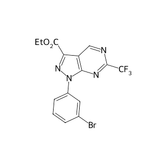 CCOC(=O)c1nn(-c2cccc(Br)c2)c2nc(C(F)(F)F)ncc12